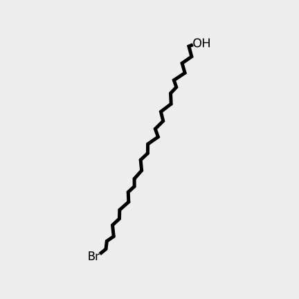 OCCCCCCCCCCCCCCCCCCCCCCCCCCBr